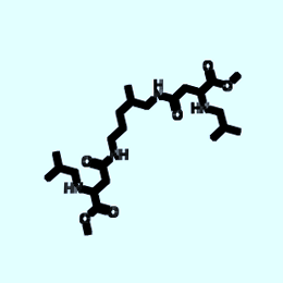 COC(=O)C(CC(=O)NCCCC(C)CNC(=O)CC(NCC(C)C)C(=O)OC)NCC(C)C